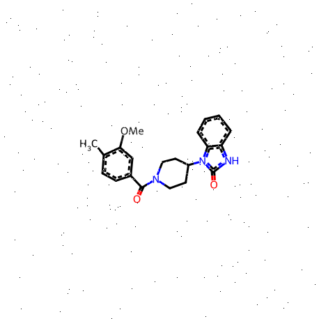 COc1cc(C(=O)N2CCC(n3c(=O)[nH]c4ccccc43)CC2)ccc1C